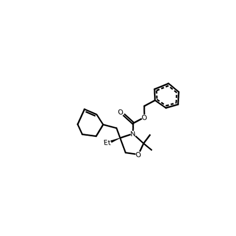 CC[C@]1(CC2C=CCCC2)COC(C)(C)N1C(=O)OCc1ccccc1